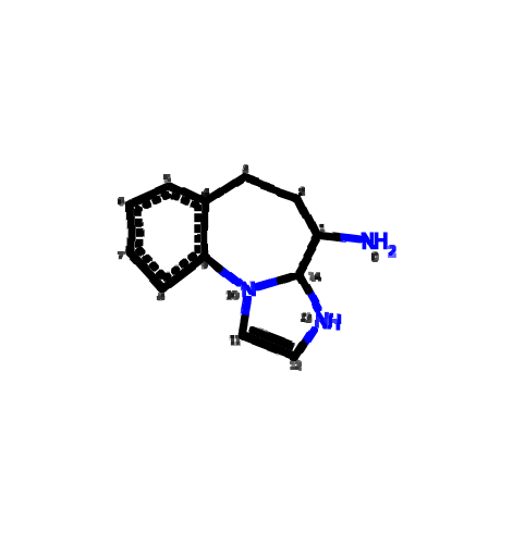 NC1CCc2ccccc2N2C=CNC12